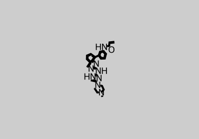 C=CC(=O)Nc1cccc(-c2cccc3cnc(Nc4nc(N5CCN(C)CC5)c[nH]4)nc23)c1